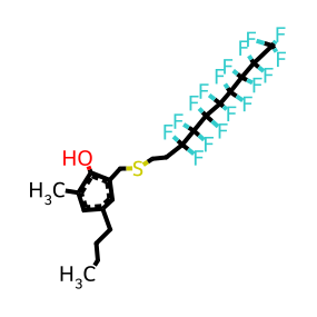 CCCCc1cc(C)c(O)c(CSCCC(F)(F)C(F)(F)C(F)(F)C(F)(F)C(F)(F)C(F)(F)C(F)(F)C(F)(F)F)c1